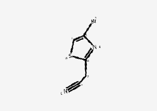 N#CCc1nc(Br)cs1